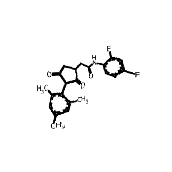 Cc1cc(C)c(C2C(=O)CC(CC(=O)Nc3ccc(F)cc3F)C2=O)c(C)c1